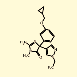 CN1C(=O)C(c2cccc(OCC3CC3)c2)(c2cnn(CC(F)(F)F)c2)N=C1N